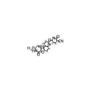 CC1CNc2c(oc3ccc4nc(Oc5ccc(C#N)c(Cl)n5)ccc4c23)C(=O)N1